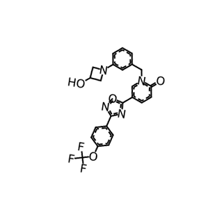 O=c1ccc(-c2nc(-c3ccc(OC(F)(F)F)cc3)no2)cn1Cc1cccc(N2CC(O)C2)c1